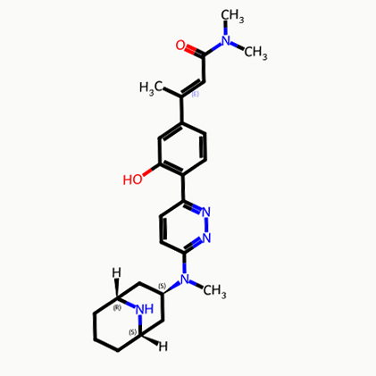 C/C(=C\C(=O)N(C)C)c1ccc(-c2ccc(N(C)[C@@H]3C[C@H]4CCC[C@@H](C3)N4)nn2)c(O)c1